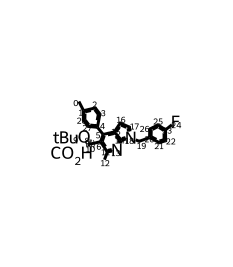 Cc1ccc(-c2c([C@H](OC(C)(C)C)C(=O)O)c(C)nc3c2ccn3Cc2ccc(F)cc2)cc1